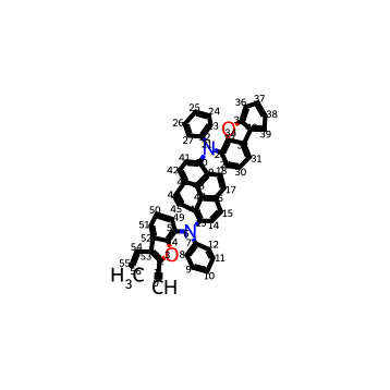 C#Cc1oc2c(N(c3ccccc3)c3ccc4ccc5c(N(c6ccccc6)c6cccc7c6oc6ccccc67)ccc6c#cc3c4c65)cccc2c1/C=C\C